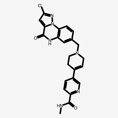 CNC(=O)c1ccc(C2=CCN(Cc3ccc4c(c3)[nH]c(=O)c3cc(Cl)nn34)CC2)cn1